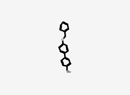 CC(C)(C)c1ccc(-c2ccc(OCc3ccccc3)cc2)cc1